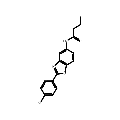 CCCC(=O)Nc1ccc2oc(-c3ccc(Cl)cc3)nc2c1